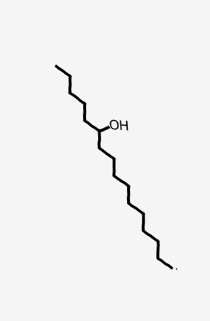 [CH2]CCCCCCCCCC(O)CCCCC